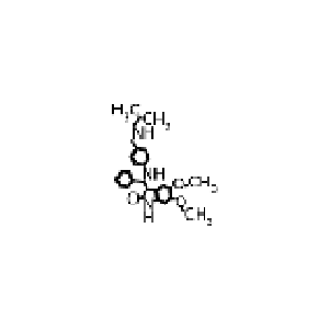 CCOc1cc2c(cc1OCC)C(=C(Nc1ccc(CNCC(C)C)cc1)c1ccccc1)C(=O)N2